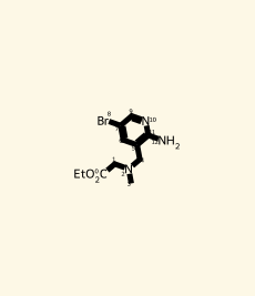 CCOC(=O)CN(C)Cc1cc(Br)cnc1N